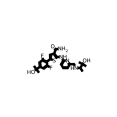 CC(NCc1cccc(Nc2sc(-c3c(F)cc(C(C)(C)O)cc3F)cc2C(N)=O)n1)C(C)(C)O